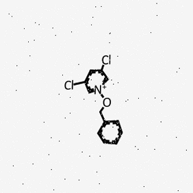 Clc1cc(Cl)c[n+](OCc2ccccc2)c1